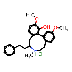 COc1ccc2c(c1)-c1c(ccc(OC)c1O)CC(CCc1ccccc1)N(C)CC2.Cl